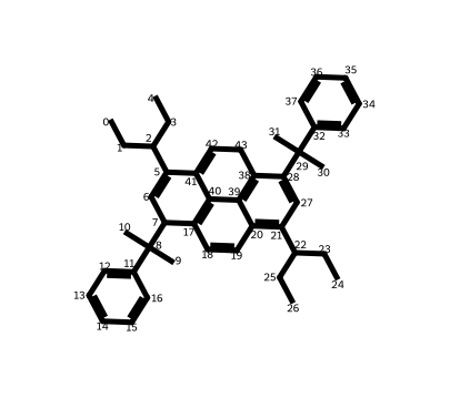 CCC(CC)C1=CC(C(C)(C)c2ccccc2)c2ccc3c(C(CC)CC)cc(C(C)(C)c4ccccc4)c4c3c2C1=CC4